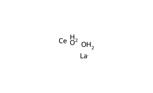 O.O.[Ce].[La]